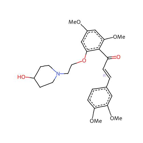 COc1cc(OC)c(C(=O)/C=C/c2ccc(OC)c(OC)c2)c(OCCN2CCC(O)CC2)c1